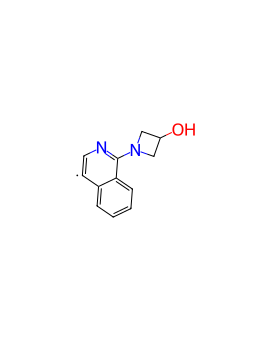 OC1CN(c2nc[c]c3ccccc23)C1